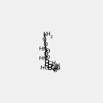 CC12CCC(NC(=O)COCC(=O)NCCOCCOCCN)CC1CCC1C2CC(O)C2(C)C(C3=CC(=O)OC3)CCC12O